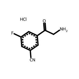 Cl.N#Cc1cc(F)cc(C(=O)CN)c1